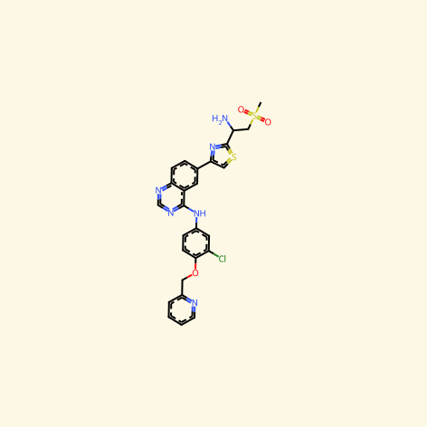 CS(=O)(=O)CC(N)c1nc(-c2ccc3ncnc(Nc4ccc(OCc5ccccn5)c(Cl)c4)c3c2)cs1